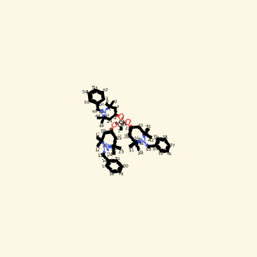 CC1(C)CC(O[Si](C)(OC2CC(C)(C)N(Cc3ccccc3)C(C)(C)C2)OC2CC(C)(C)N(Cc3ccccc3)C(C)(C)C2)CC(C)(C)N1Cc1ccccc1